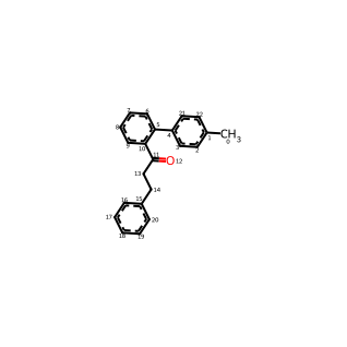 Cc1ccc(-c2ccccc2C(=O)CCc2ccccc2)cc1